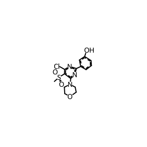 CS(=O)(=O)c1c(Cl)nc(-c2cccc(O)c2)nc1N1CCOCC1